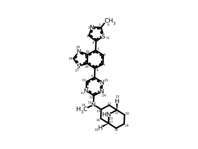 Cc1ncc(-c2ccc(-c3cnc(N(C)C4C[C@H]5CCC[C@@H](C4)N5)nn3)c3scnc23)s1